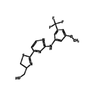 COc1cc(Nc2nccc(C3=NC(CO)CS3)n2)cc(C(F)(F)F)c1